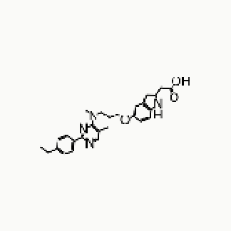 CCc1ccc(-c2ncc(C)c(N(C)CCCOc3ccc4[nH]c(CC(=O)O)cc4c3)n2)cc1